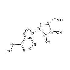 OC[C@H]1O[C@@H](n2ccc3c(NO)ncnc32)[C@H](O)[C@@H]1O